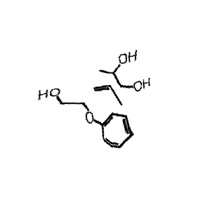 C=CC.CC(O)CO.OCCOc1ccccc1